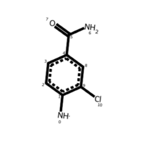 [NH]c1ccc(C(N)=O)cc1Cl